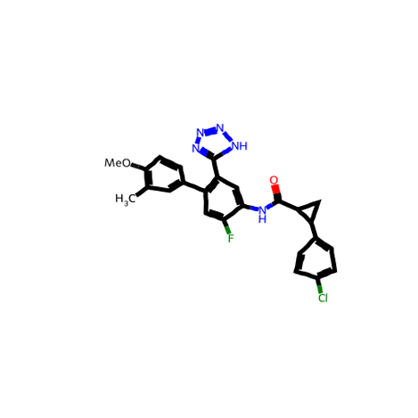 COc1ccc(-c2cc(F)c(NC(=O)C3CC3c3ccc(Cl)cc3)cc2-c2nnn[nH]2)cc1C